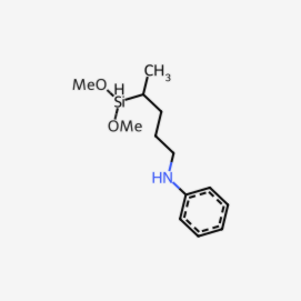 CO[SiH](OC)C(C)CCCNc1ccccc1